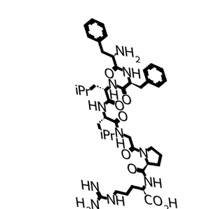 CC(C)C[C@H](NC(=O)[C@H](CC(C)C)NC(=O)[C@H](Cc1ccccc1)NC(=O)[C@@H](N)Cc1ccccc1)C(=O)NCC(=O)N1CCC[C@H]1C(=O)N[C@@H](CCCNC(=N)N)C(=O)O